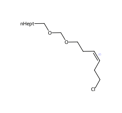 CCCCCCCCOCOCC/C=C\CCCl